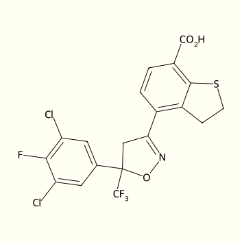 O=C(O)c1ccc(C2=NOC(c3cc(Cl)c(F)c(Cl)c3)(C(F)(F)F)C2)c2c1SCC2